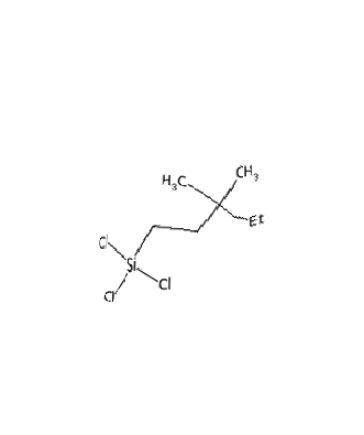 CCC(C)(C)CC[Si](Cl)(Cl)Cl